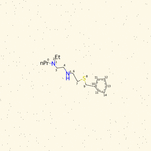 CCCN(CC)CCNCCSCc1ccccc1